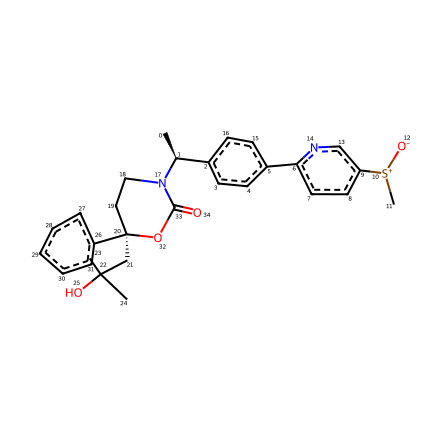 C[C@@H](c1ccc(-c2ccc([S+](C)[O-])cn2)cc1)N1CC[C@](CC(C)(C)O)(c2ccccc2)OC1=O